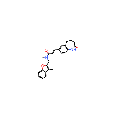 Cc1c(CN(C)C(=O)/C=C/c2ccc3c(c2)CCCC(=O)N3)oc2ccccc12